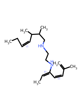 C=C(C)/C=C\C(=C/C)NCCNCC(C)C(C)/C=C\CC